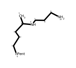 CCCCCCCCC(C)NCCCN